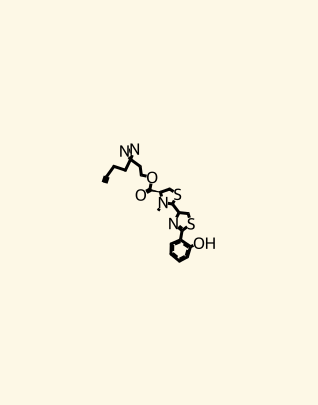 C#CCCC1(CCOC(=O)[C@H]2CSC(C3CSC(c4ccccc4O)=N3)N2C)N=N1